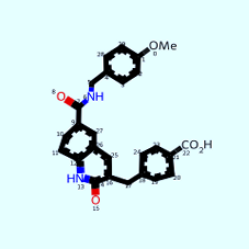 COc1ccc(CNC(=O)c2ccc3[nH]c(=O)c(Cc4ccc(C(=O)O)cc4)cc3c2)cc1